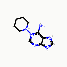 Nc1c2ncnc-2ncn1N1CCCCC1